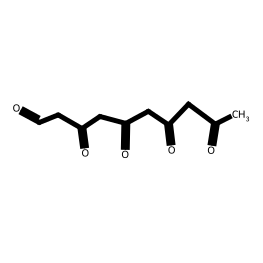 CC(=O)CC(=O)CC(=O)CC(=O)CC=O